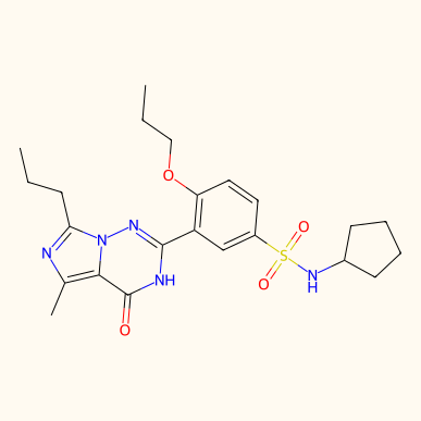 CCCOc1ccc(S(=O)(=O)NC2CCCC2)cc1-c1nn2c(CCC)nc(C)c2c(=O)[nH]1